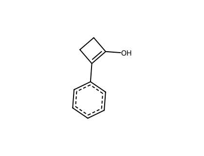 OC1=C(c2ccccc2)CC1